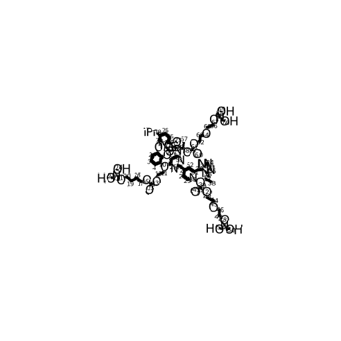 COc1ccccc1Oc1c(OCCOC(=O)OCCCCON(O)O)nc(-c2ccnc(-c3nnnn3C(C)OC(=O)OCCOCCON(O)O)c2)nc1N(C(C)OC(=O)OCCOCCON(O)O)S(=O)(=O)c1ccc(C(C)C)cn1